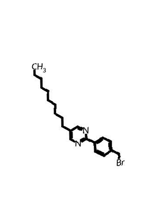 CCCCCCCCCCc1cnc(-c2ccc(CBr)cc2)nc1